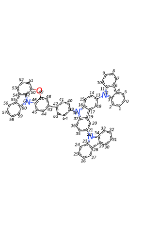 c1ccc2c(c1)c1ccccc1n2-c1ccc2c(c1)c1cc(-n3c4ccccc4c4ccccc43)ccc1n2-c1ccc(-c2ccc3c(c2)Oc2cccc4c5ccccc5n-3c24)cc1